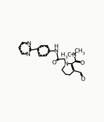 CN(C)C(=O)C1=C(C=O)CCCN1CC(=O)Nc1ccc(-c2ncccn2)cc1